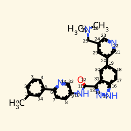 Cc1cccc(-c2ccc(NC(=O)c3n[nH]c4ccc(-c5cncc(CN(C)C)c5)cc34)cn2)c1